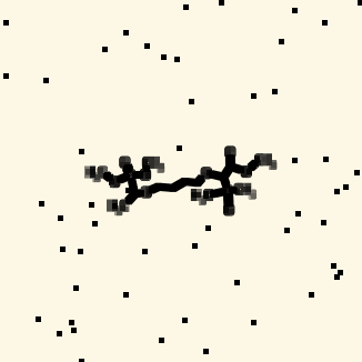 COC(=O)C(OCCCCOC(C)P(=O)(OC)OC)P(C)(C)=O